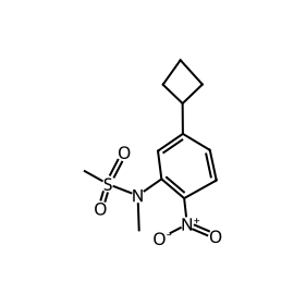 CN(c1cc(C2CCC2)ccc1[N+](=O)[O-])S(C)(=O)=O